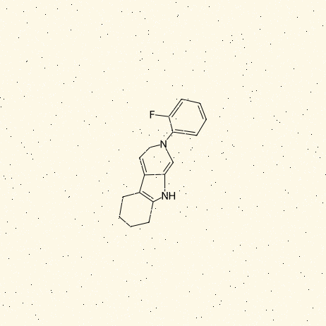 Fc1ccccc1N1C=c2[nH]c3c(c2=CC1)CCCC3